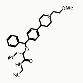 COCCN1CCC(c2ccc(C(O[C@@H](CC(C)C)C(=O)NCC#N)c3ccccc3)cc2)CC1